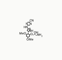 COc1cc(OC)c(-c2cc(Nc3cnc(C#N)cn3)n[nH]2)c(OCC(O)CN)c1